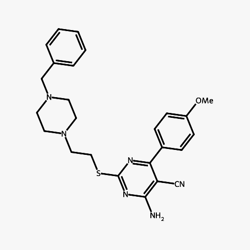 COc1ccc(-c2nc(SCCN3CCN(Cc4ccccc4)CC3)nc(N)c2C#N)cc1